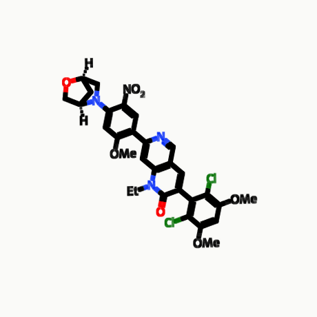 CCn1c(=O)c(-c2c(Cl)c(OC)cc(OC)c2Cl)cc2cnc(-c3cc([N+](=O)[O-])c(N4C[C@H]5C[C@@H]4CO5)cc3OC)cc21